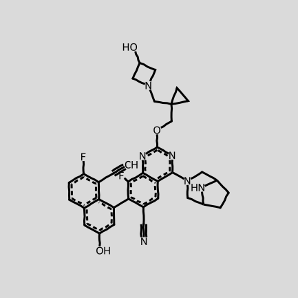 C#Cc1c(F)ccc2cc(O)cc(-c3c(C#N)cc4c(N5CC6CCC(C5)N6)nc(OCC5(CN6CC(O)C6)CC5)nc4c3F)c12